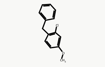 COc1ccc(Cc2[c]cccc2)c(Cl)c1